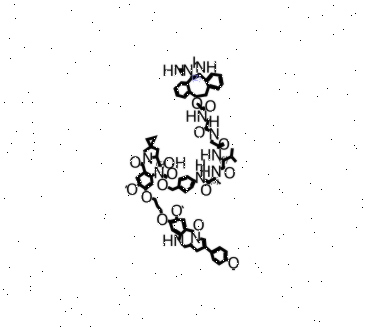 COc1ccc(C2=CN3C(=O)c4cc(OC)c(OCCCOc5cc6c(cc5OC)C(=O)N5CC7(CC7)CC5[C@H](O)N6C(=O)OCc5ccc(NC(=O)[C@H](C)NC(=O)[C@@H](NC(=O)CNC(=O)CNC(=O)OC6Cc7ccccc7/C(NI)=C(/N=N)c7ccccc76)C(C)C)cc5)cc4NCC3C2)cc1